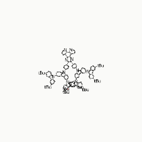 CC(C)(C)c1ccc2c(c1)c1cc(C(C)(C)C)ccc1n2-c1ccc2c(c1)c1cc(-n3c4ccc(C(C)(C)C)cc4c4cc(C(C)(C)C)ccc43)ccc1n2-c1ccc(-c2nc3c4cccnc4c4ncccc4c3nc2-c2ccc(-n3c4ccc(-n5c6ccc(C(C)(C)C)cc6c6cc(C(C)(C)C)ccc65)cc4c4cc(-n5c6ccc(C(C)(C)C)cc6c6cc(C(C)(C)C)ccc65)ccc43)cc2)cc1